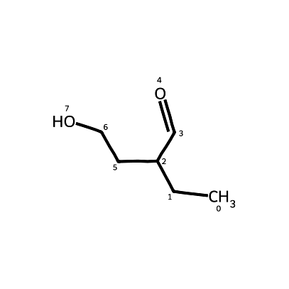 CCC(C=O)CCO